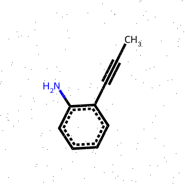 CC#Cc1ccccc1N